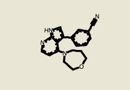 N#Cc1cccc(-c2c[nH]c3nccc(N4CCCOCC4)c23)c1